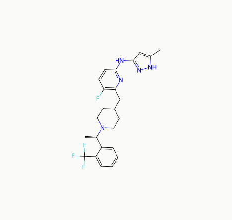 Cc1cc(Nc2ccc(F)c(CC3CCN([C@H](C)c4ccccc4C(F)(F)F)CC3)n2)n[nH]1